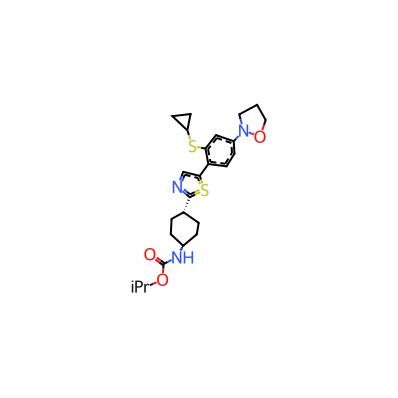 CC(C)OC(=O)N[C@H]1CC[C@H](c2ncc(-c3ccc(N4CCCO4)cc3SC3CC3)s2)CC1